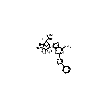 CNC(=O)[C@H]1C2C[C@@H]1[C@@H](O)[C@@H](O)[C@@H]2n1cnc2c(NC)nc(-n3cc(-c4ccccc4)nn3)nc21